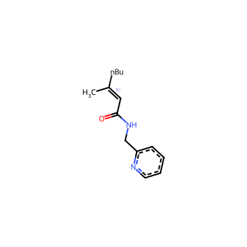 CCCC/C(C)=C/C(=O)NCc1ccccn1